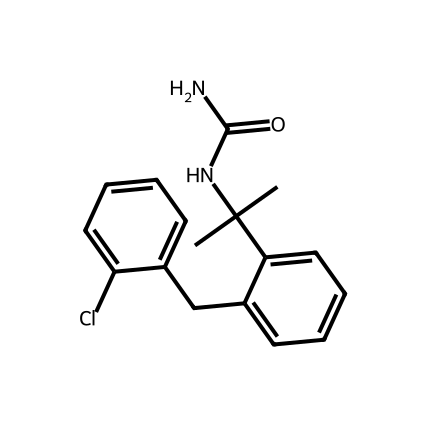 CC(C)(NC(N)=O)c1ccccc1Cc1ccccc1Cl